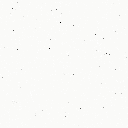 CCN(C)C(=O)Oc1cc2c(c3c(C(=O)OC)c(C)[nH]c13)C(CCl)CN2C(=O)c1cc2cc(C)ccc2o1